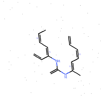 C=C/C=C\C=C(/C)NC(=C)N/C(C=C)=C/C=C\C